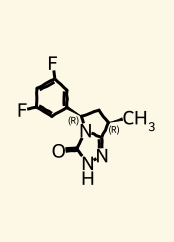 C[C@@H]1C[C@H](c2cc(F)cc(F)c2)n2c1n[nH]c2=O